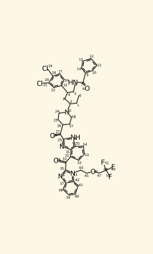 CCC(CC(CNC(=O)c1ccccc1)c1ccc(Cl)c(Cl)c1)N1CCC(C(=O)c2nc3c(C(=O)c4nc5ccccc5n4CCOCC(F)(F)F)cccc3[nH]2)CC1